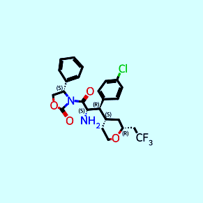 N[C@H](C(=O)N1C(=O)OC[C@@H]1c1ccccc1)[C@@H](c1ccc(Cl)cc1)[C@H]1CCO[C@@H](CC(F)(F)F)C1